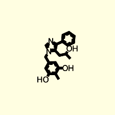 Cc1c(O)cc(Cn2cnc(-c3ccccc3)c2CC(C)O)cc1O